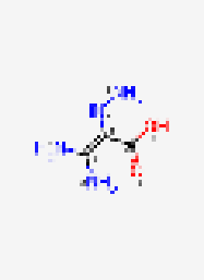 NNC(C(=O)O)=C(N)N